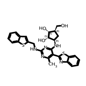 Cc1nc(NCc2cc3ccccc3s2)nc(N[C@@H]2C[C@H](CO)[C@@H](O)[C@H]2O)c1-c1nc2ccccc2s1